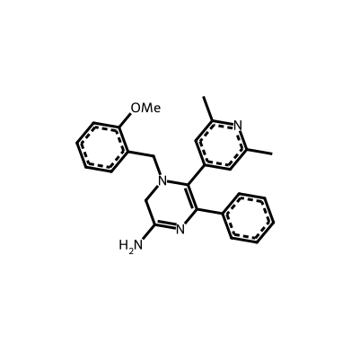 COc1ccccc1CN1CC(N)=NC(c2ccccc2)=C1c1cc(C)nc(C)c1